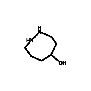 OC1CCCNNCC1